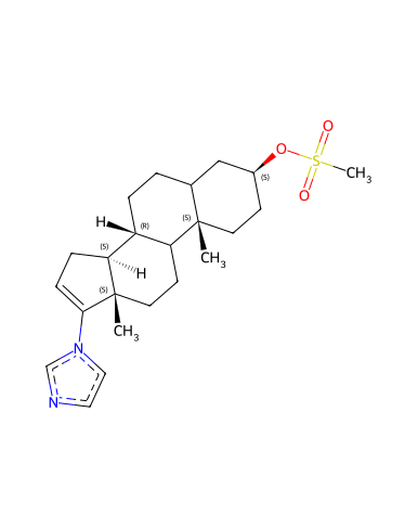 C[C@]12CC[C@H](OS(C)(=O)=O)CC1CC[C@@H]1C2CC[C@]2(C)C(n3ccnc3)=CC[C@@H]12